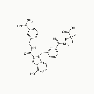 N=C(N)c1cccc(CNC(=O)c2cc3c(O)cccc3n2Cc2cccc(C(=N)N)c2)c1.O=C(O)C(F)(F)F